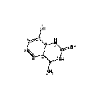 NC1NC(=O)NC2C(O)=CC=CC12